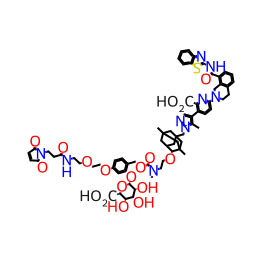 Cc1c(-c2ccc(N3CCc4cccc(C(=O)Nc5nc6ccccc6s5)c4C3)nc2C(=O)O)cnn1CC12CC3CC(C)(C1)CC(C)(C2)C3OCCN(C)C(=O)OCc1ccc(OCCOCCNC(=O)CCN2C(=O)C=CC2=O)cc1O[C@@H]1O[C@H](C(=O)O)[C@@H](O)[C@H](O)[C@H]1O